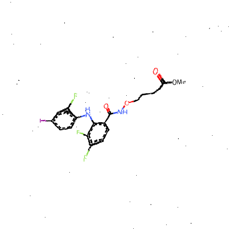 COC(=O)CCCONC(=O)c1ccc(F)c(F)c1Nc1ccc(I)cc1F